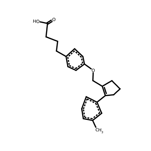 Cc1cccc(C2=C(COc3ccc(CCCC(=O)O)cc3)CCC2)c1